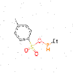 CCPOS(=O)(=O)c1ccc(C)cc1